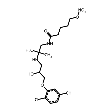 Cc1ccc(Cl)c(OCC(O)CNC(C)(C)CNC(=O)CCCCO[N+](=O)[O-])c1